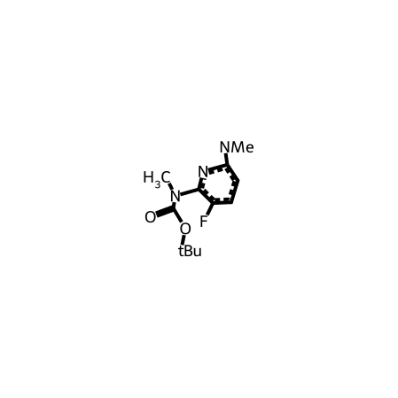 CNc1ccc(F)c(N(C)C(=O)OC(C)(C)C)n1